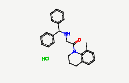 Cc1cccc2c1N(C(=O)CNC(c1ccccc1)c1ccccc1)CCC2.Cl